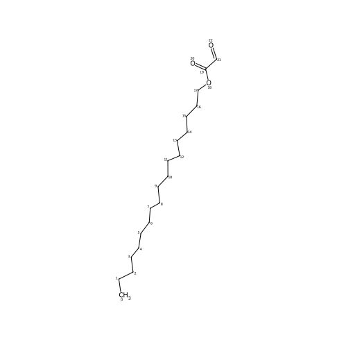 CCCCCCCCCCCCCCCCCCOC(=O)C=O